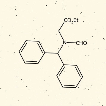 CCOC(=O)CN(C=O)C(c1ccccc1)c1ccccc1